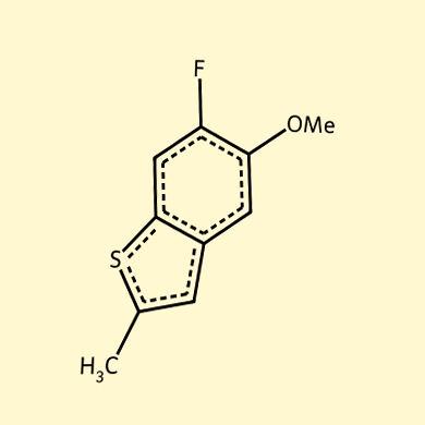 COc1cc2cc(C)sc2cc1F